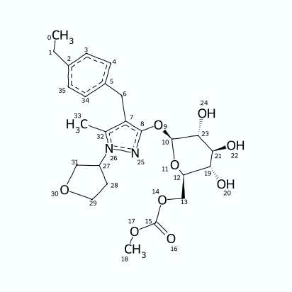 CCc1ccc(Cc2c(O[C@@H]3O[C@H](COC(=O)OC)[C@@H](O)[C@H](O)[C@H]3O)nn(C3CCOC3)c2C)cc1